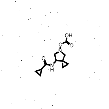 O=C(O)ON1CC(NC(=O)C2CC2)C2(CC2)C1